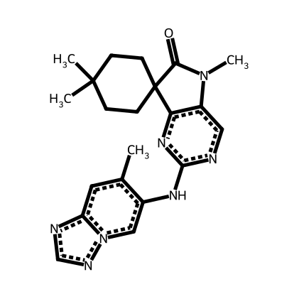 Cc1cc2ncnn2cc1Nc1ncc2c(n1)C1(CCC(C)(C)CC1)C(=O)N2C